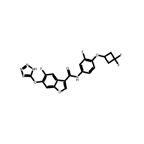 O=C(Nc1ccc(OC2CC(F)(F)C2)c(F)c1)c1coc2cc(Oc3nnn[nH]3)c(F)cc12